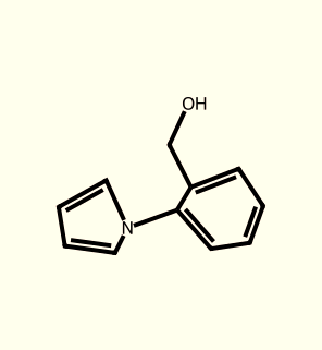 OCc1ccccc1-n1cccc1